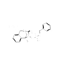 O=C(O)[C@H]1c2ccccc2[C@H]2CN1C(=O)N2OP(=O)(O)OCc1ccccc1